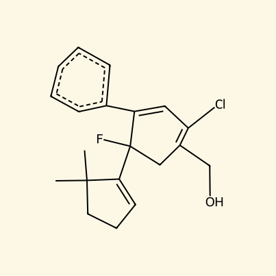 CC1(C)CCC=C1C1(F)CC(CO)=C(Cl)C=C1c1ccccc1